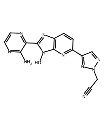 N#CCn1ncc(-c2ccc3nc(-c4nccnc4N)n(O)c3n2)n1